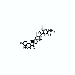 C/C(O)=C(/C(=N)c1ccc(F)cc1)C(=O)N1CCC2(CC1)CN/C(=N\C(=O)c1nc(Cl)c(N)nc1N)N2